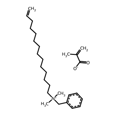 C=C(C)C(=O)[O-].C=CCCCCCCCCCCCC[N+](C)(C)Cc1ccccc1